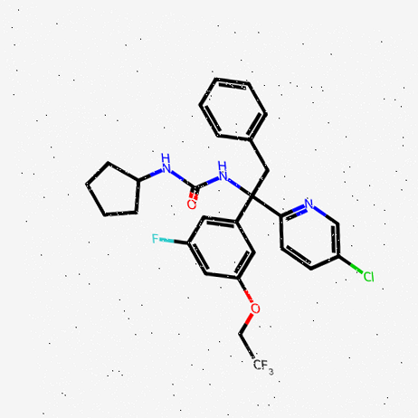 O=C(NC1CCCC1)NC(Cc1ccccc1)(c1cc(F)cc(OCC(F)(F)F)c1)c1ccc(Cl)cn1